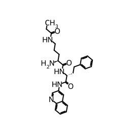 CCC(=O)NCCC[C@H](N)C(=O)N[C@H](CCc1ccccc1)C(=O)Nc1cnc2ccccc2c1